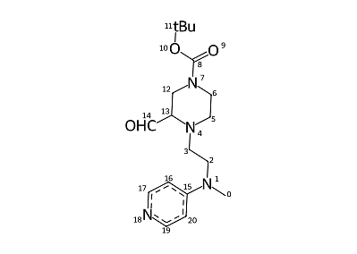 CN(CCN1CCN(C(=O)OC(C)(C)C)CC1C=O)c1ccncc1